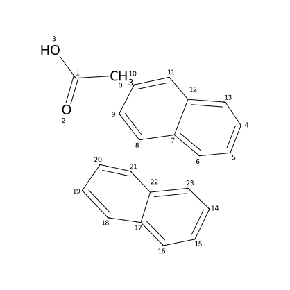 CC(=O)O.c1ccc2ccccc2c1.c1ccc2ccccc2c1